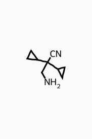 N#CC(CN)(C1CC1)C1CC1